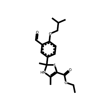 CCOC(=O)C1=C(C)NC(C)(c2ccc(OCC(C)C)c(C=O)c2)S1